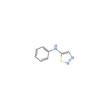 c1ccc(Nc2cnns2)cc1